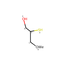 COCC(S)CO